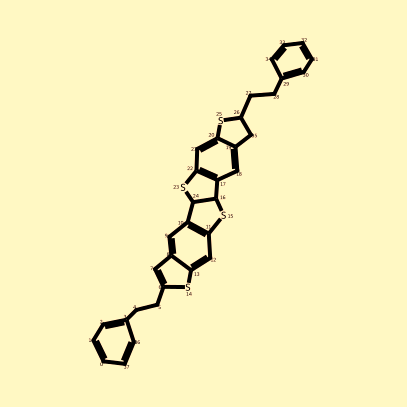 c1ccc(CCc2cc3cc4c(cc3s2)SC2c3cc5c(cc3SC42)SC(CCc2ccccc2)C5)cc1